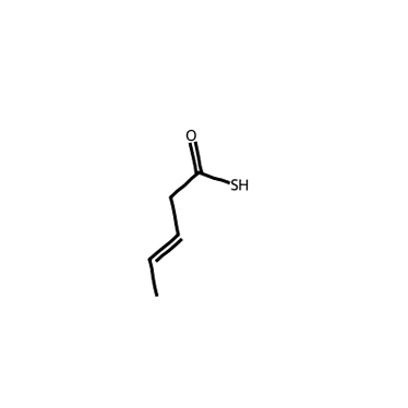 C/C=C/CC(=O)S